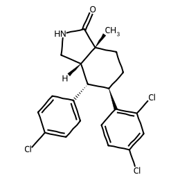 C[C@@]12CC[C@@H](c3ccc(Cl)cc3Cl)[C@H](c3ccc(Cl)cc3)[C@@H]1CNC2=O